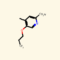 Cc1cc(C(=O)O)ncc1OCCC(F)(F)F